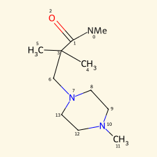 CNC(=O)C(C)(C)CN1CCN(C)CC1